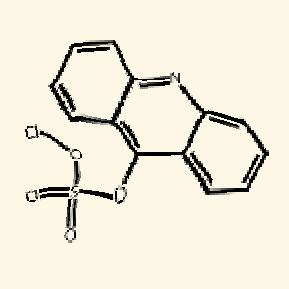 O=S(=O)(OCl)Oc1c2ccccc2nc2ccccc12